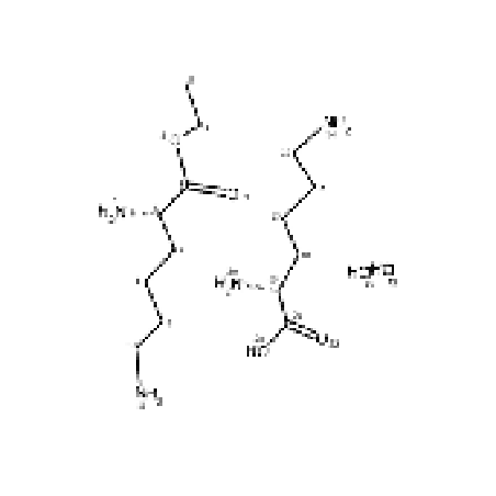 CCOC(=O)[C@@H](N)CCCCN.Cl.Cl.NCCCC[C@@H](N)C(=O)O